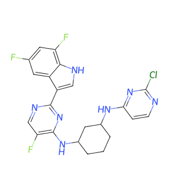 Fc1cc(F)c2[nH]cc(-c3ncc(F)c(NC4CCCC(Nc5ccnc(Cl)n5)C4)n3)c2c1